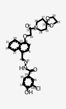 O=C(N/N=C/c1ccc(OCC(=O)N2CCC3(CC2)OCCO3)c2ccccc12)c1ccc(O)c(Cl)c1